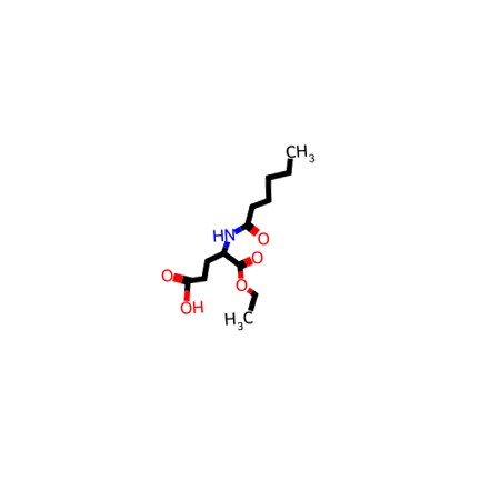 CCCCCC(=O)NC(CCC(=O)O)C(=O)OCC